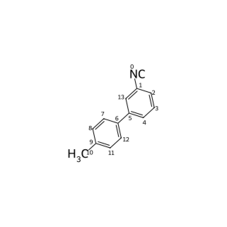 [C-]#[N+]c1cccc(-c2ccc(C)cc2)c1